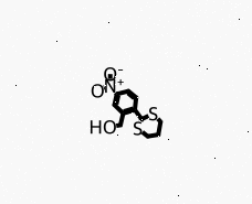 O=[N+]([O-])c1ccc(C2SCCCS2)c(CO)c1